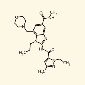 CCCn1c(NC(=O)c2cc(C)nn2CC)nc2cc(C(=O)NC)cc(CN3CCOCC3)c21